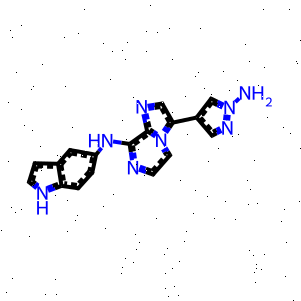 Nn1cc(-c2cnc3c(Nc4ccc5[nH]ccc5c4)nccn23)cn1